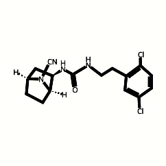 N#CN1[C@H]2CC[C@@H]1[C@H](NC(=O)NCCc1cc(Cl)ccc1Cl)C2